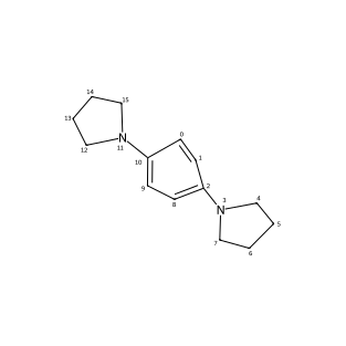 c1cc(N2CCCC2)ccc1N1CCCC1